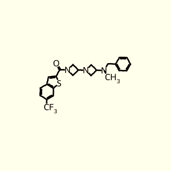 CN(Cc1ccccc1)C1CN(C2CN(C(=O)c3cc4ccc(C(F)(F)F)cc4s3)C2)C1